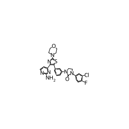 Nc1nccc(-c2nc(N3CCOCC3)sc2-c2cccc(N3CCN(c4ccc(F)c(Cl)c4)C3=O)c2)n1